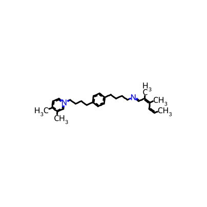 C\C=C/C(C)=C(C)\C=N\CCCCc1ccc(CCCC[n+]2ccc(C)c(C)c2)cc1